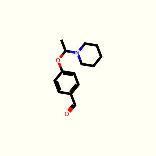 CC(Oc1ccc(C=O)cc1)N1CCCCC1